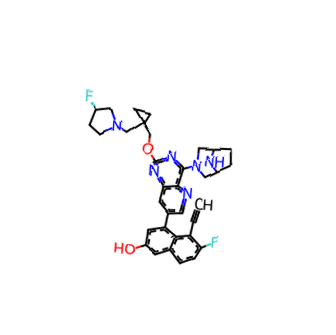 C#Cc1c(F)ccc2cc(O)cc(-c3cnc4c(N5CC6CCC(C5)N6)nc(OCC5(CN6CC[C@@H](F)C6)CC5)nc4c3)c12